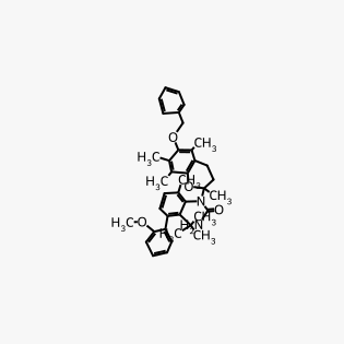 COc1ccccc1-c1ccc(C)c(N(C(N)=O)C2(C)CCc3c(C)c(OCc4ccccc4)c(C)c(C)c3O2)c1C(C)(C)C